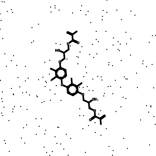 C=C(C)C(=O)OCC(O)COc1ccc(Oc2ccc(OCC(O)COC(=O)C(=C)C)c(C)c2C)c(C)c1C